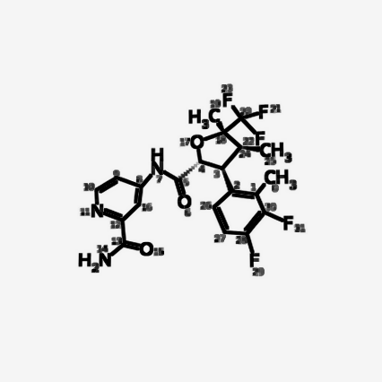 Cc1c([C@H]2[C@H](C(=O)Nc3ccnc(C(N)=O)c3)O[C@](C)(C(F)(F)F)[C@H]2C)ccc(F)c1F